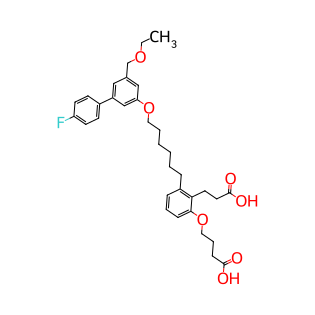 CCOCc1cc(OCCCCCCc2cccc(OCCCC(=O)O)c2CCC(=O)O)cc(-c2ccc(F)cc2)c1